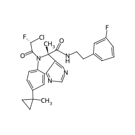 CC1(c2ccc(N(C(=O)[C@H](F)Cl)[C@](C)(C(=O)NCCc3cccc(F)c3)c3cncnc3)cc2)CC1